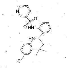 CC1(C)CC(c2ccccc2NS(=O)(=O)c2cccnc2)Nc2ccc(Cl)cc21